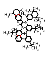 CC(C)(C)c1ccc2c(c1)B1c3oc4cc5c(cc4c3N(c3ccc4c(c3)C(C)(C)CCC4(C)C)c3cc(C(C)(C)C)cc(c31)N2c1ccc(C(C)(C)C)cc1-c1ccccc1)C1(C)CCC5(C)CC1